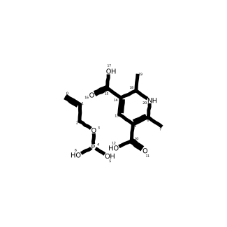 C=CCOP(O)O.CC1=C(C(=O)O)C=C(C(=O)O)C(C)N1